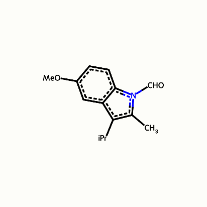 COc1ccc2c(c1)c(C(C)C)c(C)n2C=O